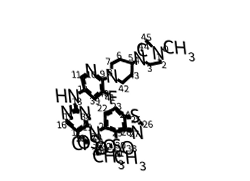 CN1CCN(C2CCN(c3ncc(Nc4ncc(Cl)c(N(c5ccc6scnc6c5S(C)(=O)=O)S(C)(=O)=O)n4)cc3F)CC2)CC1